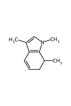 Cc1cn(C)c2c1C=CCC2C